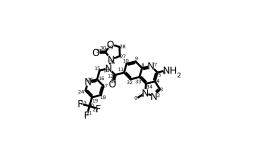 Cn1ncc2c(N)nc3ccc(C(=O)N(Cc4ccc(C(F)(F)F)cn4)N4CCOC4=O)cc3c21